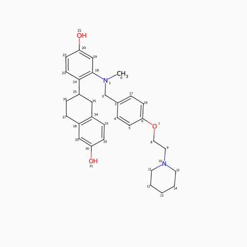 CN(Cc1ccc(OCCN2CCCCC2)cc1)c1cc(O)ccc1C1CCc2cc(O)ccc2C1